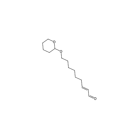 O=C/C=C/CCCCCCOC1CCCCO1